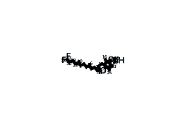 C/C(=C\CC/C(C)=C/CC[C@@]1(C)CCc2c(C)c(O[SiH](C)C)c(C)c(C)c2O1)CCC=C(F)F